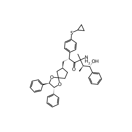 C[C@H]([C@H](O)c1ccccc1)C(C)(N)C(=O)[C@H](C[C@H]1CCC2(C1)O[C@H](c1ccccc1)[C@@H](c1ccccc1)O2)c1ccc(SC2CC2)cc1